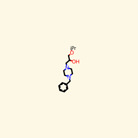 CC(C)OCC(O)CN1CCN(Cc2ccccc2)CC1